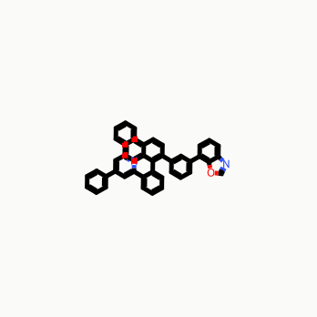 c1ccc(-c2cc(-c3ccccc3)nc(-c3ccccc3-c3c(-c4cccc(-c5cccc6ncoc56)c4)ccc4ccccc34)c2)cc1